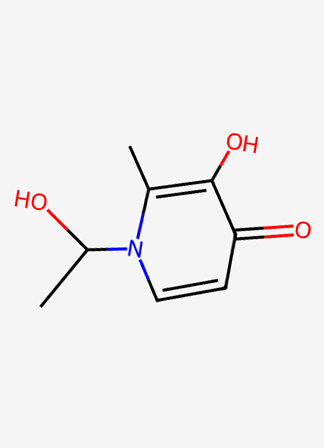 Cc1c(O)c(=O)ccn1C(C)O